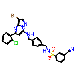 N#Cc1cccc(S(=O)(=O)NCc2ccc(CNc3cc(-c4ccccc4Cl)nc4c(Br)cnn34)cc2)c1